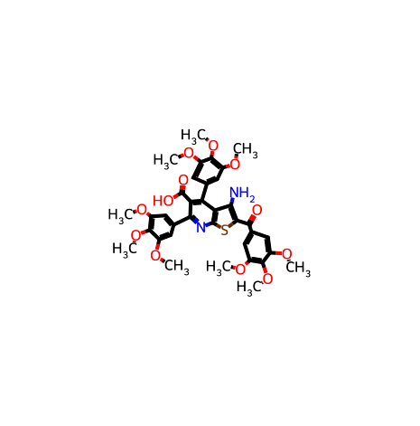 COc1cc(C(=O)c2sc3nc(-c4cc(OC)c(OC)c(OC)c4)c(C(=O)O)c(-c4cc(OC)c(OC)c(OC)c4)c3c2N)cc(OC)c1OC